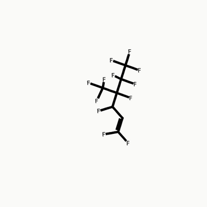 FC(F)=CC(F)C(F)(C(F)(F)F)C(F)(F)C(F)(F)F